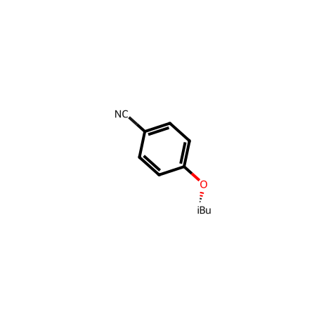 CC[C@@H](C)Oc1ccc(C#N)cc1